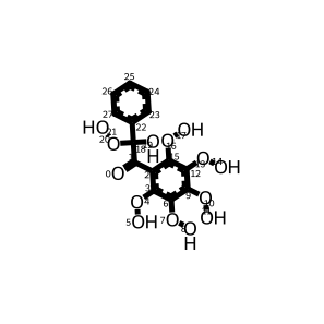 O=C(c1c(OO)c(OO)c(OO)c(OO)c1OO)C(O)(OO)c1ccccc1